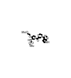 COCCO[C@H]1CCN(C(=O)C2=CN(c3ncnc4[nH]ccc34)CCS2)C[C@@H]1NC(=O)OC(C)(C)C